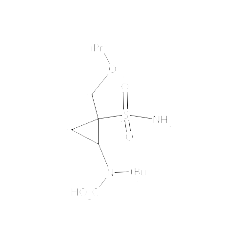 CC(C)OCC1(S(N)(=O)=O)CC1N(C(=O)O)C(C)(C)C